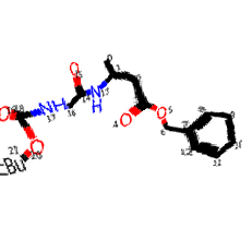 CC(CC(=O)OCc1ccccc1)NC(=O)CNC(=O)OC(C)(C)C